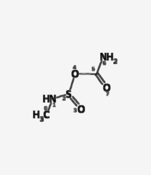 CNS(=O)OC(N)=O